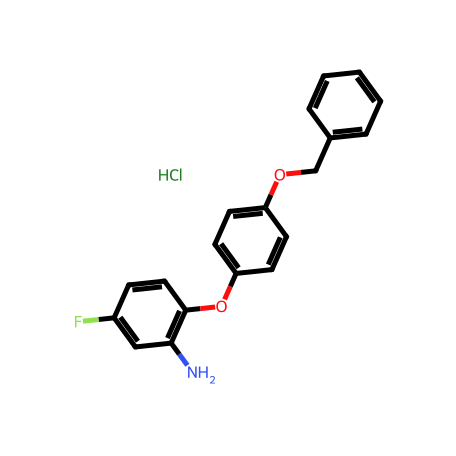 Cl.Nc1cc(F)ccc1Oc1ccc(OCc2ccccc2)cc1